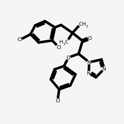 CC(C)(Cc1ccc(Cl)cc1Cl)C(=O)C(Oc1ccc(Cl)cc1)n1cncn1